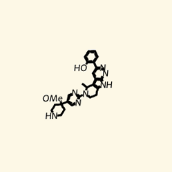 COC1(c2cnc(N3CCc4[nH]c5nnc(-c6ccccc6O)cc5c4C3C)nc2)CCNCC1